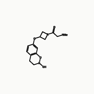 CNCC(=O)N1CC(Oc2ccc3c(c2)OB(O)CC3)C1